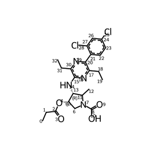 CCC(=O)O[C@H]1CN(C(=O)O)C(C)[C@H]1Nc1nc(CC)c(-c2ccc(Cl)cc2Cl)nc1CC